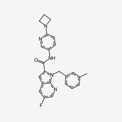 Cc1cccc(Cn2c(C(=O)Nc3ccc(N4CCC4)nc3)cc3cc(F)cnc32)c1